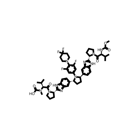 COC(=O)N[C@H](C(=O)N1CCC[C@H]1c1nc2cc([C@H]3CC[C@H](c4ccc5[nH]c([C@@H]6CCCN6C(=O)[C@H](C(C)C)N(C)C(=O)O)nc5c4)N3c3cc(F)c(N4CCC(F)(F)CC4)c(F)c3)ccc2[nH]1)C(C)C